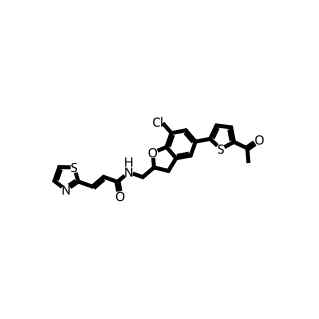 CC(=O)c1ccc(-c2cc(Cl)c3c(c2)CC(CNC(=O)/C=C/c2nccs2)O3)s1